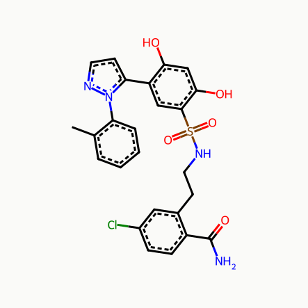 Cc1ccccc1-n1nccc1-c1cc(S(=O)(=O)NCCc2cc(Cl)ccc2C(N)=O)c(O)cc1O